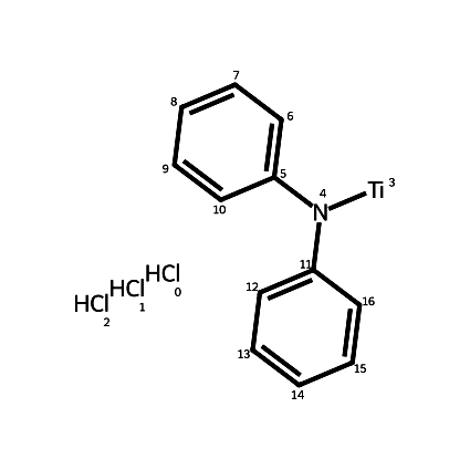 Cl.Cl.Cl.[Ti][N](c1ccccc1)c1ccccc1